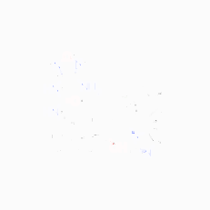 Nc1nonc1NC(=O)NC1C2CC3CC1CC(C(O)CC1c4c(F)cccc4-c4cncn41)(C3)C2